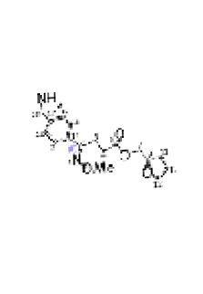 CO/N=C(\CCC(=O)OCc1ccco1)c1ccc(CN)cc1